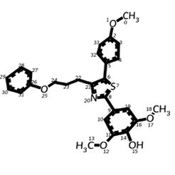 COc1ccc(-c2sc(-c3cc(OC)c(O)c(OC)c3)nc2CCCOc2ccccc2)cc1